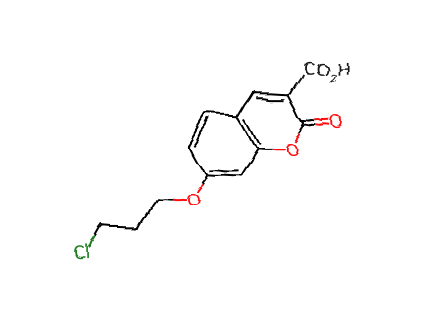 O=C(O)c1cc2ccc(OCCCCl)cc2oc1=O